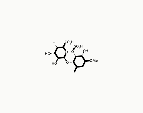 COC1CC(C)[C@H](O[C@@H]2OC(C(=O)O)[C@@H](C)[C@@H](O)[C@@H]2O)[C@H](OS(=O)(=O)O)[C@@H]1O